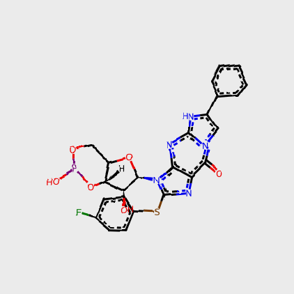 O=c1c2nc(Sc3ccc(F)cc3)n([C@@H]3OC4COP(O)O[C@H]4[C@@H]3O)c2nc2[nH]c(-c3ccccc3)cn12